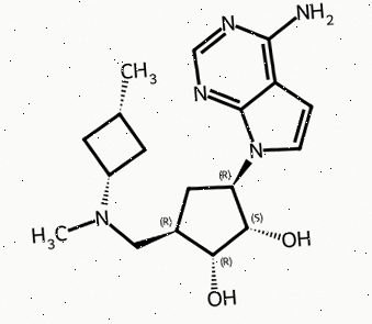 CN(C[C@H]1C[C@@H](n2ccc3c(N)ncnc32)[C@H](O)[C@@H]1O)[C@H]1C[C@@H](C)C1